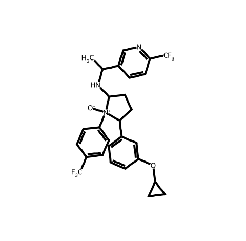 CC(NC1CCC(c2cccc(OC3CC3)c2)[N+]1([O-])c1ccc(C(F)(F)F)cc1)c1ccc(C(F)(F)F)nc1